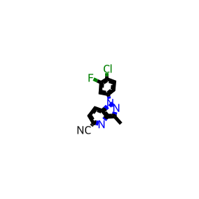 Cc1nn(-c2ccc(Cl)c(F)c2)c2ccc(C#N)nc12